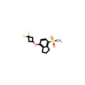 CS(=O)(=O)c1ccc(OC2CC(F)(F)C2)c2c1CCC2